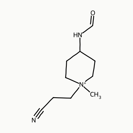 C[N+]1(CCC#N)CCC(NC=O)CC1